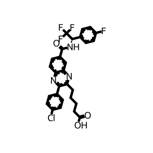 O=C(O)CCCCc1nc2cc(C(=O)N[C@@H](c3ccc(F)cc3)C(F)(F)F)ccc2nc1-c1ccc(Cl)cc1